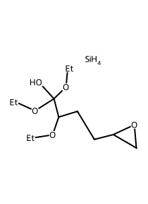 CCOC(CCC1CO1)C(O)(OCC)OCC.[SiH4]